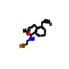 C=Cc1cccc(C(=O)NCCS)c1C=C